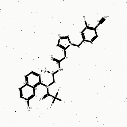 C[C@H](CN(C(=O)C(F)(F)F)c1cccc2ccc(O)cc12)NC(=O)Cc1cncn1Cc1ccc(C#N)c(F)c1